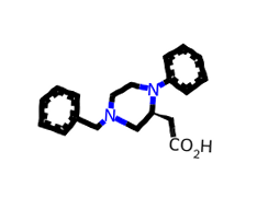 O=C(O)C[C@H]1CN(Cc2ccccc2)CCN1c1ccccc1